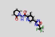 Cc1cc(-c2noc(C(F)(F)F)n2)cnc1C(=O)NN1CCCCC1=O